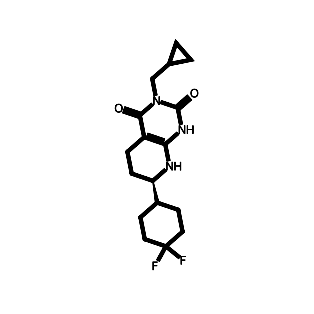 O=c1[nH]c2c(c(=O)n1CC1CC1)CC[C@H](C1CCC(F)(F)CC1)N2